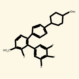 CCCCCCCCCCC1CCC(c2ccc(-c3ccc(C(=O)O)c(F)c3-c3cc(F)c(F)c(F)c3)cc2)CC1